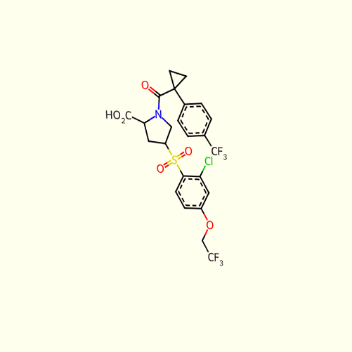 O=C(O)C1CC(S(=O)(=O)c2ccc(OCC(F)(F)F)cc2Cl)CN1C(=O)C1(c2ccc(C(F)(F)F)cc2)CC1